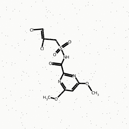 COc1cc(OC)nc(C(=O)NS(=O)(=O)C/C(Cl)=C/Cl)n1